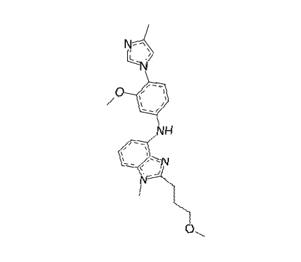 COCCCc1nc2c(Nc3ccc(-n4cnc(C)c4)c(OC)c3)cccc2n1C